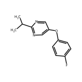 CC(C)c1ncc(Oc2ccc(F)cc2)cn1